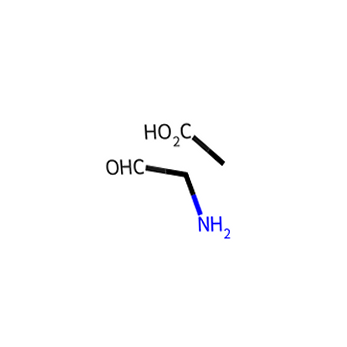 CC(=O)O.NCC=O